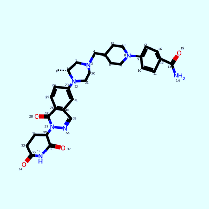 C[C@@H]1CN(CC2CCN(c3ccc(C(N)=O)cc3)CC2)CCN1c1ccc2c(=O)n(C3CCC(=O)NC3=O)ncc2c1